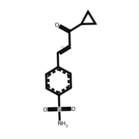 NS(=O)(=O)c1ccc(/C=C/C(=O)C2CC2)cc1